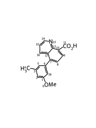 COc1cc(C)cc(-c2ccc(C(=O)O)c3ncccc23)c1